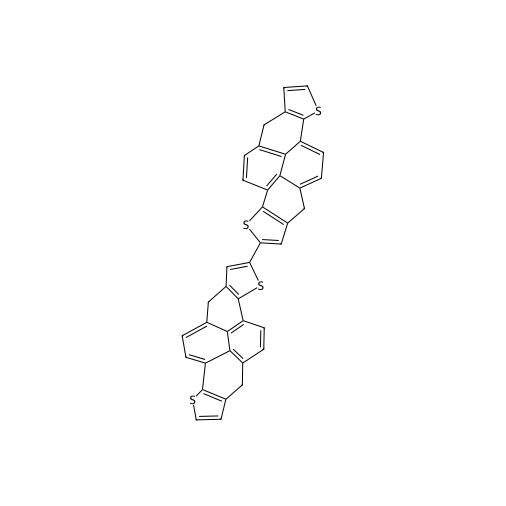 c1cc2c(s1)-c1ccc3c4c(ccc(c14)C2)-c1sc(-c2cc4c(s2)-c2ccc5c6c(ccc(c26)C4)-c2sccc2C5)cc1C3